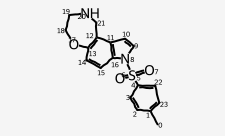 Cc1ccc(S(=O)(=O)n2ccc3c4c(ccc32)OCCNC4)cc1